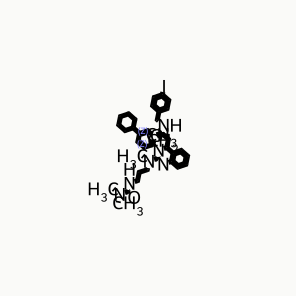 C=C(/C=C\C(=C/C)C1CCCCC1)N1C(N(C)CCCNC(=O)N(C)C)=Nc2ccccc2C1CC(=O)NCc1ccc(I)cc1